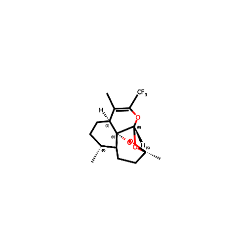 CC1=C(C(F)(F)F)O[C@@H]2O[C@]3(C)CCC4[C@H](C)CC[C@@H]1[C@]42OO3